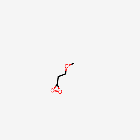 COCCC1OO1